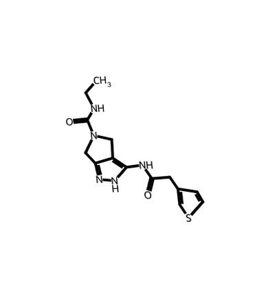 CCNC(=O)N1Cc2n[nH]c(NC(=O)Cc3ccsc3)c2C1